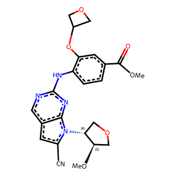 COC(=O)c1ccc(Nc2ncc3cc(C#N)n([C@@H]4COC[C@H]4OC)c3n2)c(OC2COC2)c1